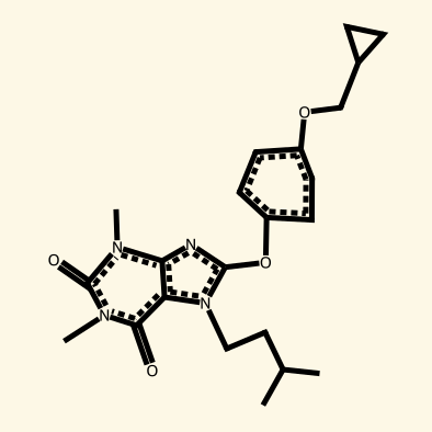 CC(C)CCn1c(Oc2ccc(OCC3CC3)cc2)nc2c1c(=O)n(C)c(=O)n2C